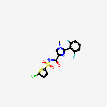 Cn1cc(C(=O)NS(=O)(=O)c2ccc(Cl)s2)nc1-c1c(F)cccc1F